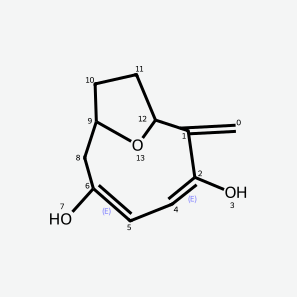 C=C1/C(O)=C\C=C(\O)CC2CCC1O2